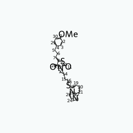 COc1ccc(CCC=C2SC(=O)N(CCCCSc3cccc4nccn34)C2=O)cc1